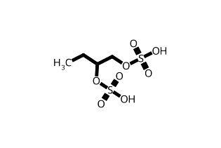 CCC(COS(=O)(=O)O)OS(=O)(=O)O